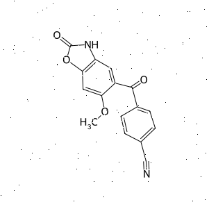 COc1cc2oc(=O)[nH]c2cc1C(=O)c1ccc(C#N)cc1